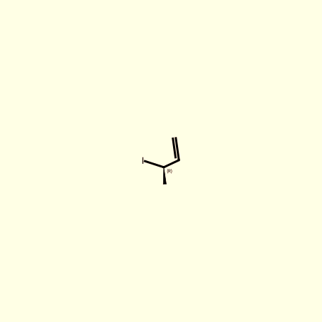 C=C[C@@H](C)I